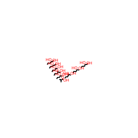 C=C(C)C(=O)O.CCCC(O)CO.CCCC(O)CO.CCCC(O)CO.CCCC(O)CO.CCCC(O)CO.CCCC(O)CO.CCCC(O)CO.CCCC(O)CO